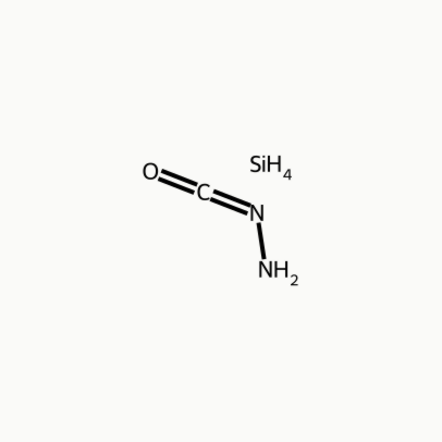 NN=C=O.[SiH4]